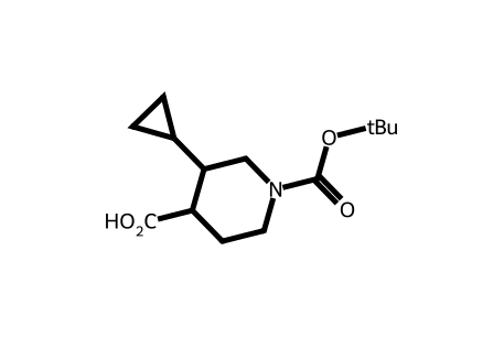 CC(C)(C)OC(=O)N1CCC(C(=O)O)C(C2CC2)C1